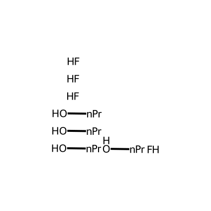 CCCO.CCCO.CCCO.CCCO.F.F.F.F